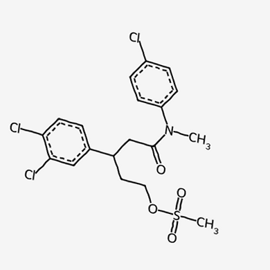 CN(C(=O)CC(CCOS(C)(=O)=O)c1ccc(Cl)c(Cl)c1)c1ccc(Cl)cc1